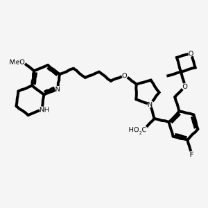 COc1cc(CCCCOC2CCN(C(C(=O)O)c3cc(F)ccc3COC3(C)COC3)C2)nc2c1CCCN2